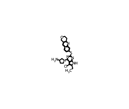 CCc1[nH]c2nc(Sc3ccc4cc5c(nc4c3)CCOC5)nc(N3CCC(N)C3)c2c1Cl